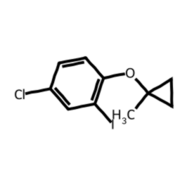 CC1(Oc2ccc(Cl)cc2I)CC1